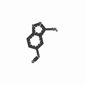 Nc1nsc2ccc(N=O)cc12